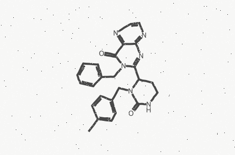 Cc1ccc(CN2C(=O)NCCC2c2nc3nccnc3c(=O)n2Cc2ccccc2)cc1